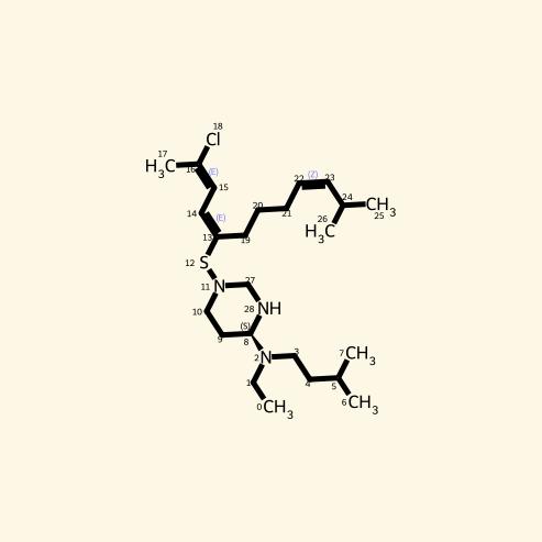 CCN(CCC(C)C)[C@H]1CCN(S/C(=C/C=C(\C)Cl)CCC/C=C\C(C)C)CN1